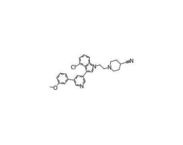 COc1cccc(-c2cncc(-c3cn(CCN4CCC(C#N)CC4)c4cccc(Cl)c34)c2)c1